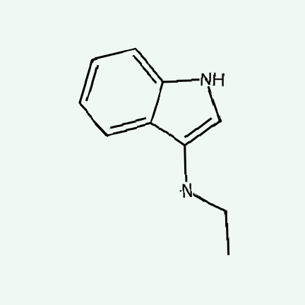 CC[N]c1c[nH]c2ccccc12